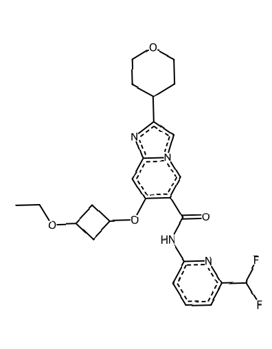 CCOC1CC(Oc2cc3nc(C4CCOCC4)cn3cc2C(=O)Nc2cccc(C(F)F)n2)C1